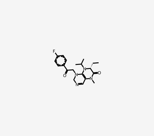 CC[C@@H]1C(=O)N(C)C2=C(N(CC(=O)c3ccc(F)cc3)CN=C2)N1C(C)C